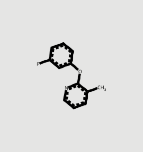 Cc1cccnc1Oc1cccc(F)c1